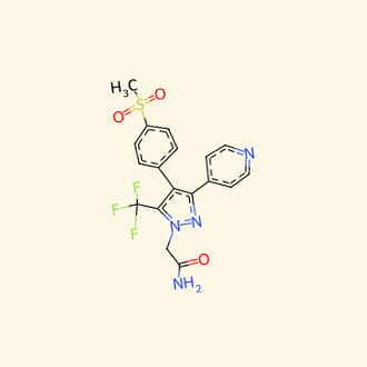 CS(=O)(=O)c1ccc(-c2c(-c3ccncc3)nn(CC(N)=O)c2C(F)(F)F)cc1